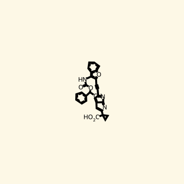 CC(OC(=O)Nc1c(C#CC2=NC3=NC(C4(C(=O)O)CC4)=CC3=C2)oc2ccccc12)c1ccccc1